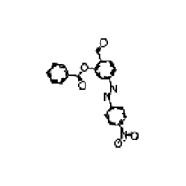 O=Cc1ccc(N=Nc2ccc([N+](=O)[O-])cc2)cc1OC(=O)c1ccccc1